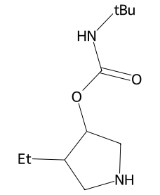 CCC1CNCC1OC(=O)NC(C)(C)C